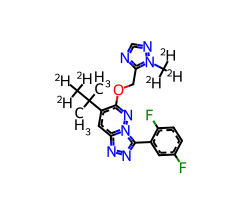 [2H]C([2H])([2H])n1ncnc1COc1nn2c(-c3cc(F)ccc3F)nnc2cc1C(C)(C)C([2H])([2H])[2H]